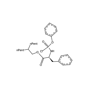 CCCCCC(CCCCC)COC(=O)[C@H](Cc1ccccc1)NP(=O)(Cl)Oc1ccccc1